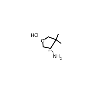 CC1(C)COC[C@H]1N.Cl